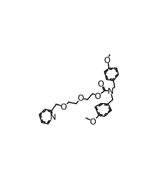 COc1ccc(CN(Cc2ccc(OC)cc2)C(=O)OCCOCCOCc2ccccn2)cc1